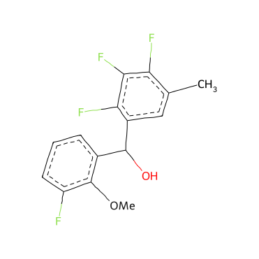 COc1c(F)cccc1C(O)c1cc(C)c(F)c(F)c1F